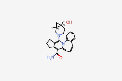 NC(=O)C1=C2CCCC2=C(N2CC[C@@]3(CO)C[C@H]3C2)N2C1=CC=Cc1ccccc12